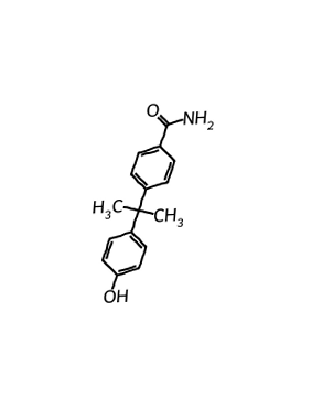 CC(C)(c1ccc(O)cc1)c1ccc(C(N)=O)cc1